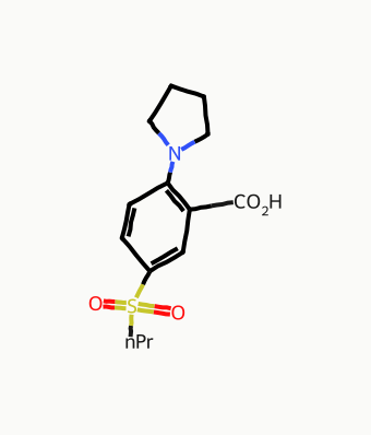 CCCS(=O)(=O)c1ccc(N2CCCC2)c(C(=O)O)c1